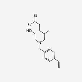 C=CC1C=CC(CN(CCO)CC(C)CCC(CC)CC)=CC1